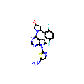 Nc1cnc(-n2ccc3c(N4CC(=O)CC4c4cc(F)ccc4F)ncnc32)s1